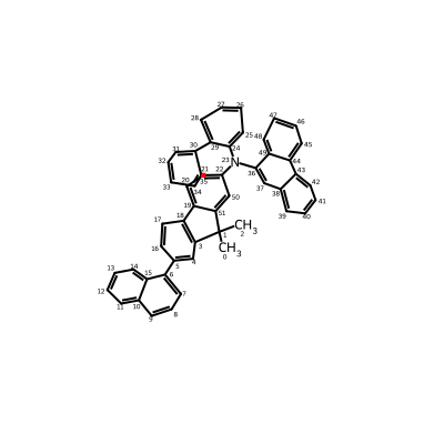 CC1(C)c2cc(-c3cccc4ccccc34)ccc2-c2ccc(N(c3ccccc3-c3ccccc3)c3cc4ccccc4c4ccccc34)cc21